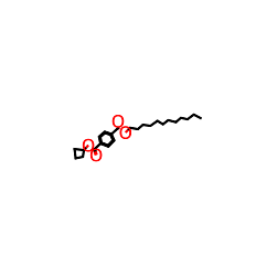 CCCCCCCCCCCCOC(=O)c1ccc(C(=O)OC2CCC2)cc1